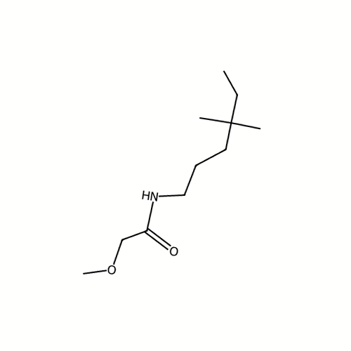 CCC(C)(C)CCCNC(=O)COC